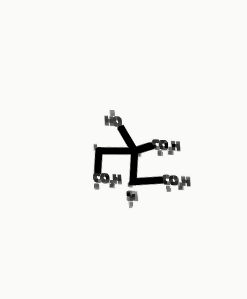 O=C(O)CC(O)(CC(=O)O)C(=O)O.[Si]